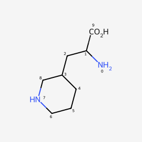 NC(CC1CCCNC1)C(=O)O